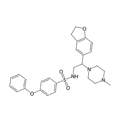 CN1CCN(C(CNS(=O)(=O)c2ccc(Oc3ccccc3)cc2)c2ccc3c(c2)CCO3)CC1